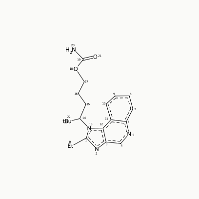 CCc1nc2cnc3ccccc3c2n1C(CCCOC(N)=O)C(C)(C)C